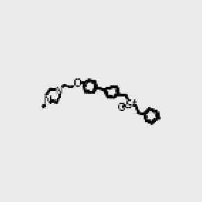 CN1CCN(CCOc2ccc(-c3ccc(C[S+]([O-])CCc4ccccc4)cc3)cc2)CC1